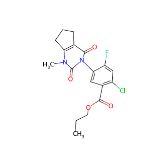 CCCOC(=O)c1cc(-n2c(=O)c3c(n(C)c2=O)CCC3)c(F)cc1Cl